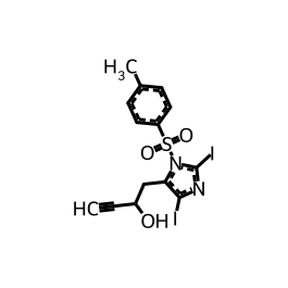 C#CC(O)Cc1c(I)nc(I)n1S(=O)(=O)c1ccc(C)cc1